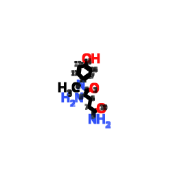 CN(C(=O)[C@@H](N)CCC(N)=O)c1ccc(O)cc1